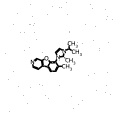 Cc1ccc2c(oc3cnccc32)c1N1C=CN(C(C)C)[C@@H]1C